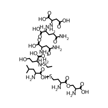 CC(C)CC(N)C(=O)O.CC[SiH2]NC(CCO)C(=O)O.CSCCC(N)C(=O)OCC(N)C(=O)O.NC(=O)CC(N)C(=O)O.NC(=O)CCC(N)C(=O)O.NC(CC(=O)O)C(=O)O